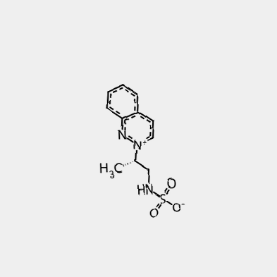 C[C@@H](CNS(=O)(=O)[O-])[n+]1ccc2ccccc2n1